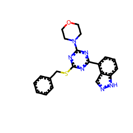 c1ccc(CSc2nc(-c3cccc4[nH]ncc34)nc(N3CCOCC3)n2)cc1